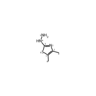 Cc1nc(NN)sc1C